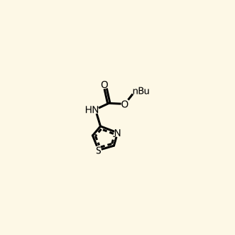 CCCCOC(=O)Nc1cscn1